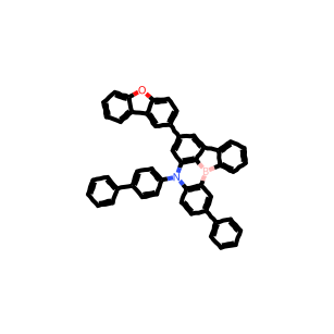 c1ccc(-c2ccc(N3c4ccc(-c5ccccc5)cc4B4c5ccccc5-c5cc(-c6ccc7oc8ccccc8c7c6)cc3c54)cc2)cc1